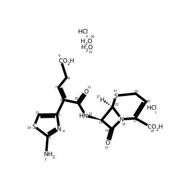 Cl.Cl.Nc1nc(/C(=C/CC(=O)O)C(=O)N[C@@H]2C(=O)N3C(C(=O)O)=CCS[C@H]23)cs1.O.O